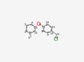 Cc1cccc(Oc2ccc(CCl)cc2)c1